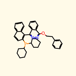 c1ccc(CCOc2nnc(-c3c(P(C4CCCCC4)C4CCCCC4)ccc4ccccc34)c3ccccc23)cc1